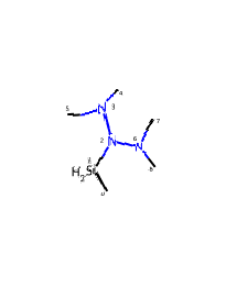 C[SiH2]N(N(C)C)N(C)C